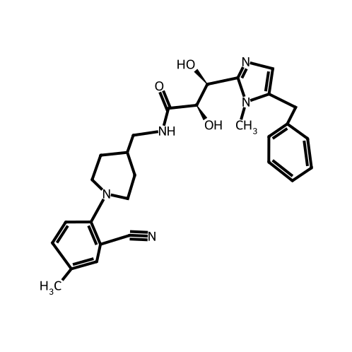 Cc1ccc(N2CCC(CNC(=O)[C@H](O)[C@@H](O)c3ncc(Cc4ccccc4)n3C)CC2)c(C#N)c1